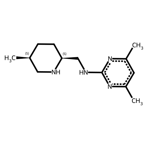 Cc1cc(C)nc(NC[C@@H]2CC[C@H](C)CN2)n1